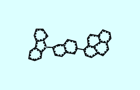 c1cc2ccc3ccc(-c4ccc5cc(-n6c7ccccc7c7ccccc76)ccc5c4)c4ccc(c1)c2c34